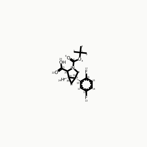 CC(C)(C)OC(=O)N1C[C@@]2(c3cc(F)ccc3F)C[C@H]2C1C(=O)O